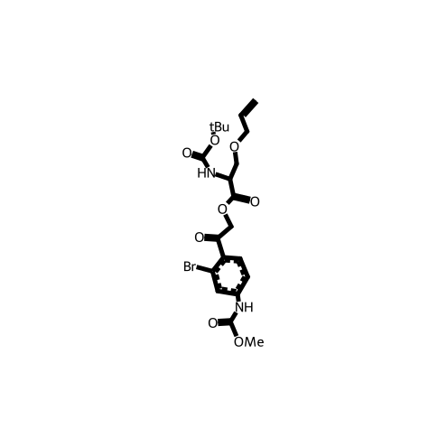 C=CCOCC(NC(=O)OC(C)(C)C)C(=O)OCC(=O)c1ccc(NC(=O)OC)cc1Br